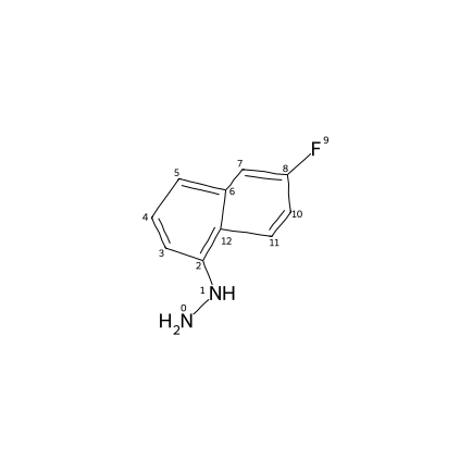 NNc1cccc2cc(F)ccc12